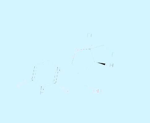 CC[C@@]1(CF)O[C@@H](n2ccc(=O)[nH]c2=O)[C@@H](CO)[C@@H]1C